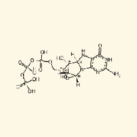 Nc1nc2c(c(=O)[nH]1)N[C@H]1N2[C@@H]2O[C@H](COP(=O)(O)OP(=O)(O)OP(=O)(O)O)[C@]1(O)[C@H]2O